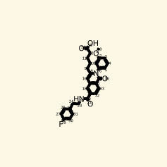 COc1cccc(-n2c(CCCCC(=O)O)cc3cc(C(=O)NCCc4ccc(F)cc4)ccc3c2=O)c1